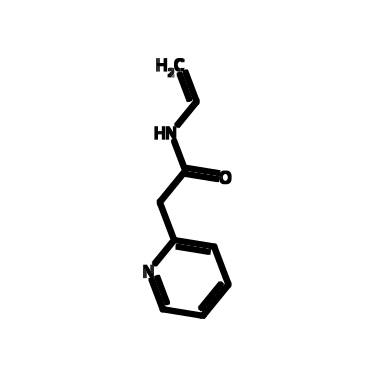 C=CNC(=O)Cc1ccccn1